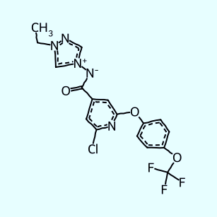 CCn1c[n+]([N-]C(=O)c2cc(Cl)nc(Oc3ccc(OC(F)(F)F)cc3)c2)cn1